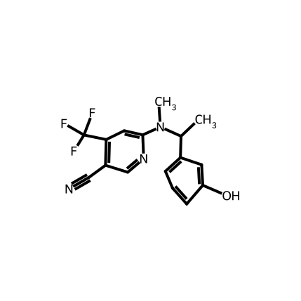 CC(c1cccc(O)c1)N(C)c1cc(C(F)(F)F)c(C#N)cn1